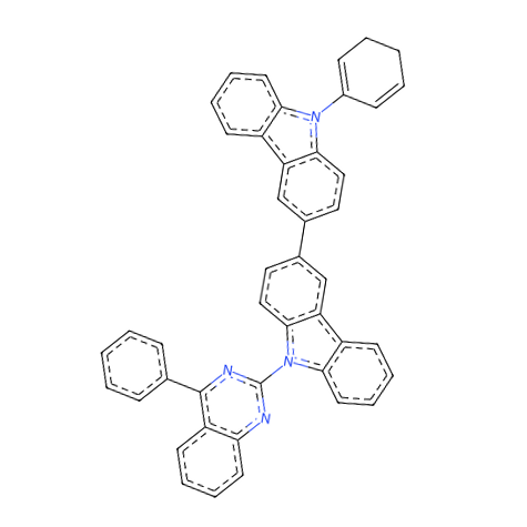 C1=CC(n2c3ccccc3c3cc(-c4ccc5c(c4)c4ccccc4n5-c4nc(-c5ccccc5)c5ccccc5n4)ccc32)=CCC1